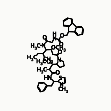 CCC(C)C(C(CC(=O)N1CCCC1C(OC)C(C)C(=O)NC(Cc1ccccc1)C1SC=CN1C)OC)N(C)C(=O)CNC(=O)OCC1c2ccccc2-c2ccccc21